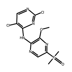 COc1nc(P(C)(C)=O)cnc1Nc1nc(Cl)ncc1Cl